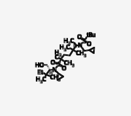 CCC(C)(C)[C@H](CO)N(C1CC1)S(=O)(=O)C(C)(C)CCC(C)(C)[C@@H](C)N(CC1CC1)S(=O)(=O)C(C)(C)C